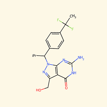 CC(C)C(c1ccc(C(C)(F)F)cc1)n1nc(CO)c2c(=O)[nH]c(N)nc21